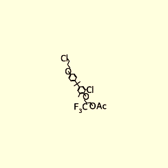 CC(=O)OCC(COc1c(C)cc(C(C)(C)c2ccc(OCCCCl)cc2)cc1Cl)C(F)(F)F